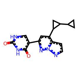 O=c1[nH]cc(-c2cc(C3CC3C3CC3)c3ccnn3n2)c(=O)[nH]1